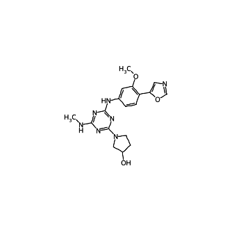 CNc1nc(Nc2ccc(-c3cnco3)c(OC)c2)nc(N2CCC(O)C2)n1